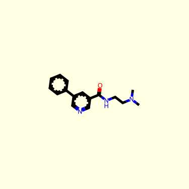 CN(C)CCNC(=O)c1cncc(-c2ccccc2)c1